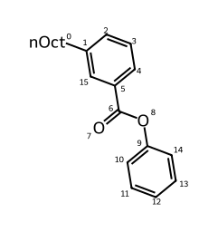 CCCCCCCCc1cccc(C(=O)Oc2ccccc2)c1